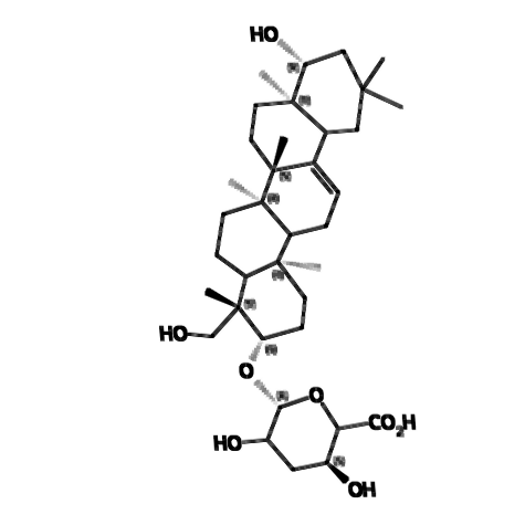 CC1(C)CC2C3=CCC4[C@@]5(C)CC[C@H](O[C@@H]6OC(C(=O)O)[C@@H](O)CC6O)[C@](C)(CO)C5CC[C@@]4(C)[C@]3(C)CC[C@@]2(C)[C@H](O)C1